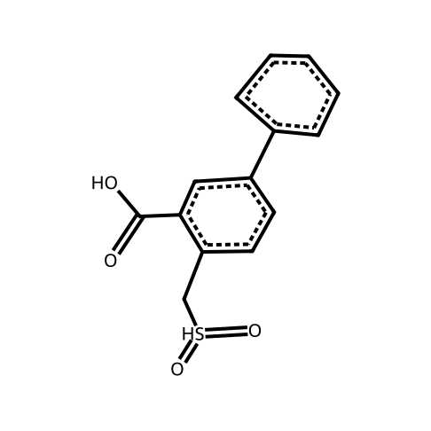 O=C(O)c1cc(-c2ccccc2)ccc1C[SH](=O)=O